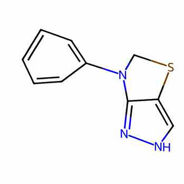 c1ccc(N2CSc3c[nH]nc32)cc1